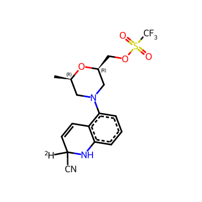 [2H]C1(C#N)C=Cc2c(cccc2N2C[C@H](COS(=O)(=O)C(F)(F)F)O[C@H](C)C2)N1